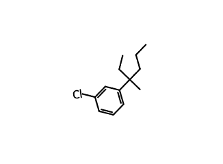 CCCC(C)(CC)c1cccc(Cl)c1